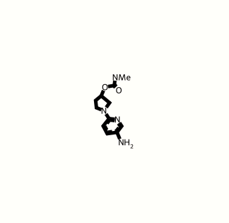 CNC(=O)OC1CCN(c2ccc(N)cn2)C1